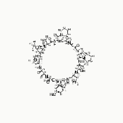 CC(C)C[C@H]1C(=O)N[C@@H](Cc2ccc(O)cc2)C(=O)N(C)CC(=O)N(C)[C@@H](C)C(=O)N(C)[C@@H](CC(C)C)C(=O)N[C@@H](COC(C)(C)C)C(=O)N(C)[C@@H](C(C)C)C(=O)N[C@H](C(=O)N2CCCCC2)CC(=O)N(C)CC(=O)N(C)[C@@H](Cc2ccccc2)C(=O)N[C@@H](C(C)C)C(=O)N1C